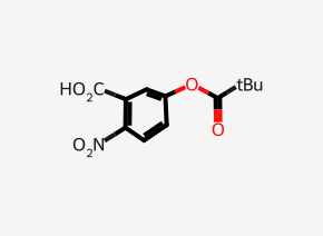 CC(C)(C)C(=O)Oc1ccc([N+](=O)[O-])c(C(=O)O)c1